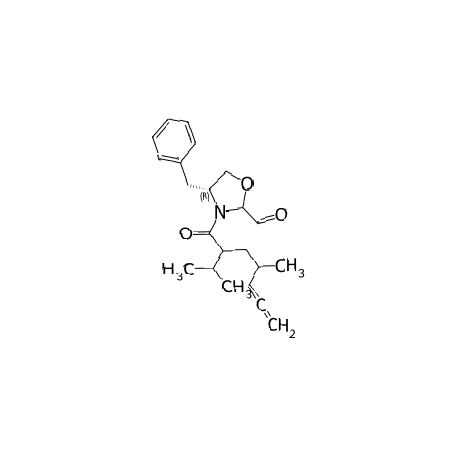 C=C=CC(C)CC(C(=O)N1C(C=O)OC[C@H]1Cc1ccccc1)C(C)C